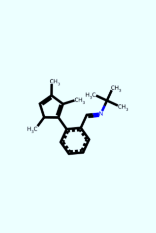 CC1=CC(C)C(c2ccccc2/C=N/C(C)(C)C)=C1C